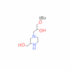 CC(C)(C)OCC(O)CN1CCNC(CO)C1